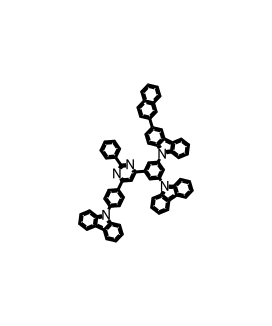 c1ccc(-c2nc(-c3ccc(-n4c5ccccc5c5ccccc54)cc3)cc(-c3cc(-n4c5ccccc5c5ccccc54)cc(-n4c5ccccc5c5cc(-c6ccc7ccccc7c6)ccc54)c3)n2)cc1